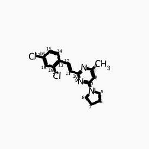 Cc1cc(N2CCCC2)nc(C=Cc2ccc(Cl)cc2Cl)n1